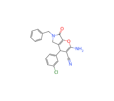 N#CC1=C(N)OC2=C(CN(Cc3ccccc3)C2=O)C1c1cccc(Cl)c1